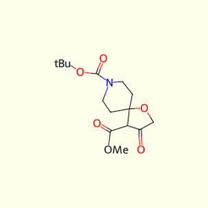 COC(=O)C1C(=O)COC12CCN(C(=O)OC(C)(C)C)CC2